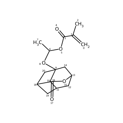 C=C(C)C(=O)OC(C)OC12CC3CC(C1)OC(=O)C(C3)C2